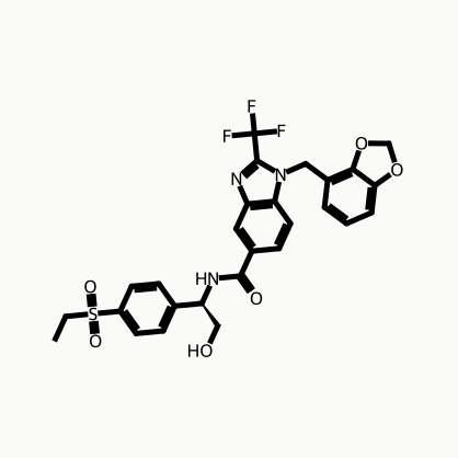 CCS(=O)(=O)c1ccc([C@H](CO)NC(=O)c2ccc3c(c2)nc(C(F)(F)F)n3Cc2cccc3c2OCO3)cc1